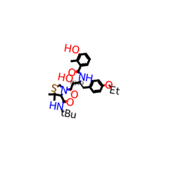 CCOc1ccc(C[C@H](NC(=O)c2cccc(O)c2C)[C@H](O)C(=O)N2CSC(C)(C)C2C(=O)NC(C)(C)C)cc1